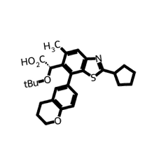 Cc1cc2nc(C3CCCC3)sc2c(-c2ccc3c(c2)CCCO3)c1[C@H](OC(C)(C)C)C(=O)O